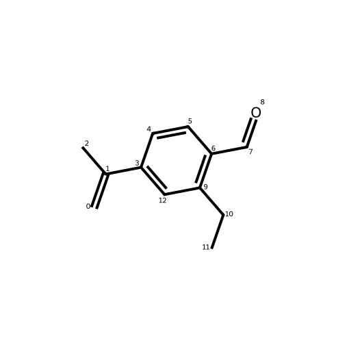 C=C(C)c1ccc(C=O)c(CC)c1